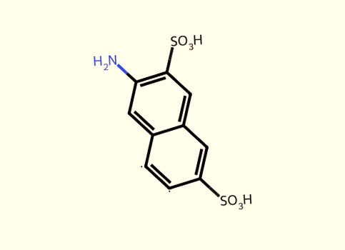 Nc1cc2[c][c]c(S(=O)(=O)O)cc2cc1S(=O)(=O)O